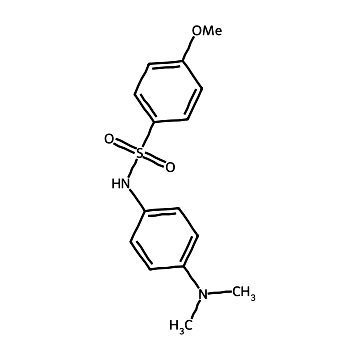 COc1ccc(S(=O)(=O)Nc2ccc(N(C)C)cc2)cc1